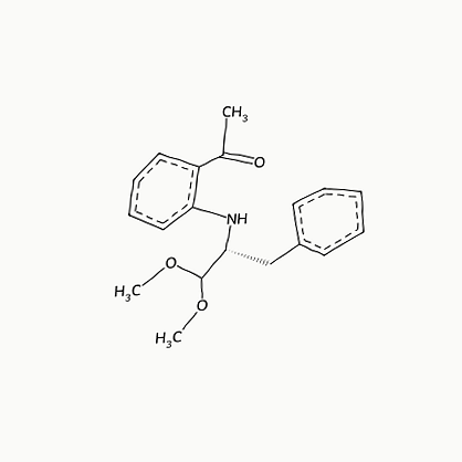 COC(OC)[C@@H](Cc1ccccc1)Nc1ccccc1C(C)=O